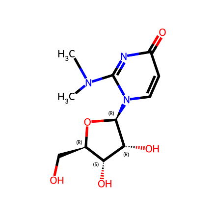 CN(C)c1nc(=O)ccn1[C@@H]1O[C@H](CO)[C@@H](O)[C@H]1O